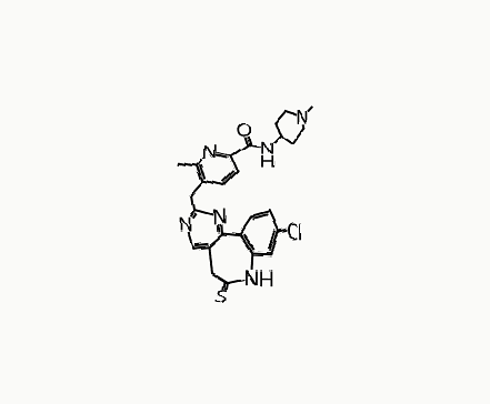 Cc1nc(C(=O)NC2CCN(C)CC2)ccc1Cc1ncc2c(n1)-c1ccc(Cl)cc1NC(=S)C2